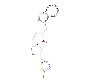 Cc1cnc(N2CCC3(CCN(Cc4c[nH]c5ccccc45)C3=O)C2)s1